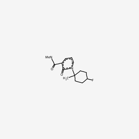 CNC(=O)c1cccn(C2(C)CCC(F)CC2)c1=O